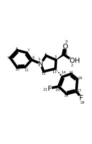 O=C(O)[C@@H]1CN(c2ccccc2)C[C@H]1c1ccc(F)cc1F